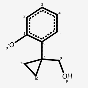 [O]c1ccccc1C1(CO)CC1